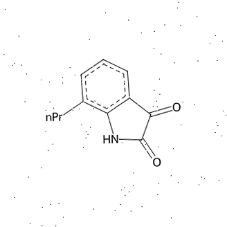 CCCc1cccc2c1NC(=O)C2=O